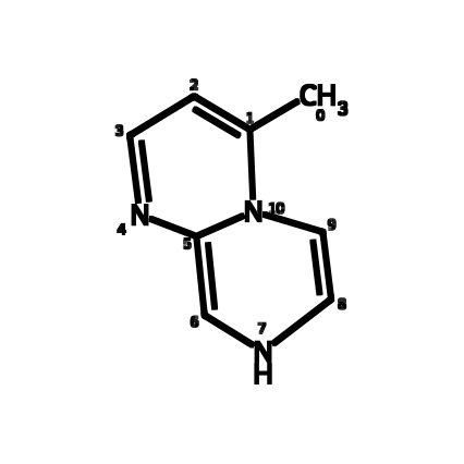 CC1=CC=NC2=CNC=CN12